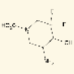 NC1CN(C(=O)O)CC(F)(F)C1O